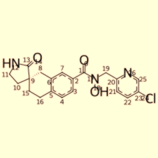 O=C(c1ccc2c(c1)C[C@@]1(CCNC1=O)CC2)N(O)Cc1ccc(Cl)cn1